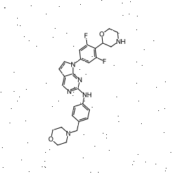 Fc1cc(-n2ccc3cnc(Nc4ccc(CN5CCOCC5)cc4)nc32)cc(F)c1C1CNCCO1